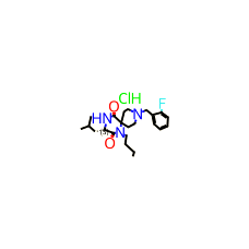 CCCCN1C(=O)[C@H](CC(C)C)NC(=O)C12CCN(Cc1ccccc1F)CC2.Cl